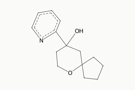 OC1(c2ccccn2)CCOC2(CCCC2)C1